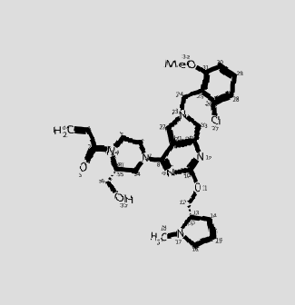 C=CC(=O)N1CCN(c2nc(OC[C@@H]3CCCN3C)nc3c2CN(Cc2c(Cl)cccc2OC)C3)C[C@@H]1CO